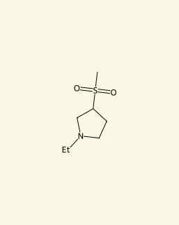 CCN1CCC(S(C)(=O)=O)C1